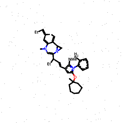 Bc1ccccc1-n1c(OC2(C)CCCCCC2)cc(/C=C/C(CC)C2=CN(C)C(=C/C(C)=C\CC)/C(=C\C)C3CN23)c1NC